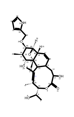 C/C1=C\[C@@H](C)[C@@H](C(C)O)OC(=O)C(O)CC2C=C[C@H]3[C@H]4O[C@@]12[C@@H]3[C@H](O)[C@@H](C)[C@H]4OCc1ccc[nH]1